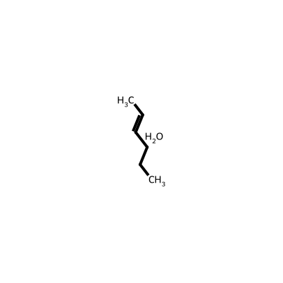 CC=CCCC.O